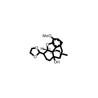 COc1ccc2c3c1O[C@H]1C(C4OCCO4)CCC4(O)C(C2)N(C)CC[C@]314